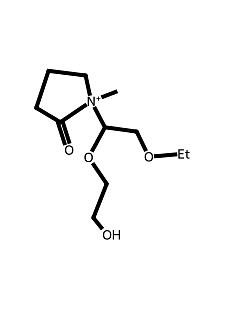 CCOCC(OCCO)[N+]1(C)CCCC1=O